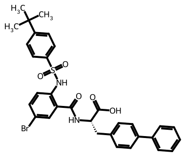 CC(C)(C)c1ccc(S(=O)(=O)Nc2ccc(Br)cc2C(=O)N[C@@H](Cc2ccc(-c3ccccc3)cc2)C(=O)O)cc1